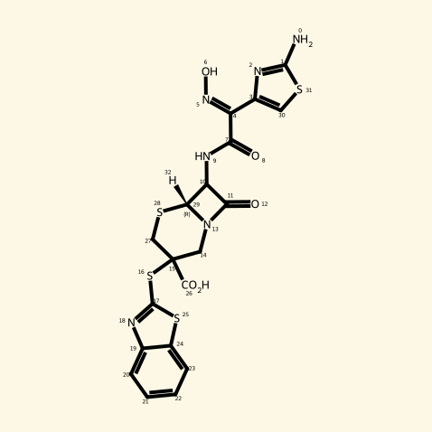 Nc1nc(C(=NO)C(=O)NC2C(=O)N3CC(Sc4nc5ccccc5s4)(C(=O)O)CS[C@H]23)cs1